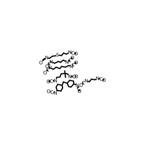 CC(C)(CCCN=C=O)CN=C=O.O=C=NC1CCC(CC2CCC(N=C=O)CC2)CC1.O=C=NCCCCCCN=C=O.O=C=NCCCCN=C=O.O=C=NCCCN=C=O.O=C=NCCCSCCCN=C=O